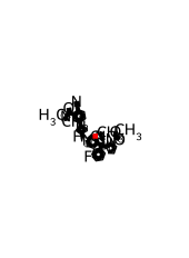 COC(=O)N[C@H]1CCC[C@@H]1[C@](CN(C)C)(c1cccc(F)c1)C1CCN(CC2CN(c3ccc(C#N)c(C(=O)N(C)C)c3)C2)CC1